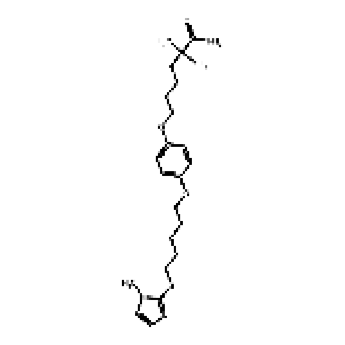 Cn1ccnc1SCCCCCOc1ccc(OCCCCC(C)(C)C(N)=O)cc1